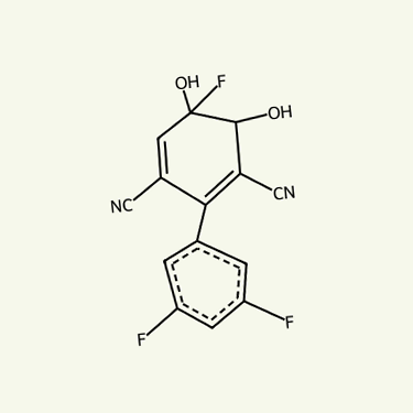 N#CC1=CC(O)(F)C(O)C(C#N)=C1c1cc(F)cc(F)c1